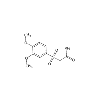 COc1ccc(S(=O)(=O)CC(=O)S)cc1OC